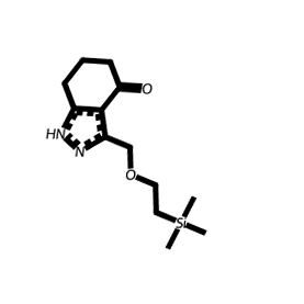 C[Si](C)(C)CCOCc1n[nH]c2c1C(=O)CCC2